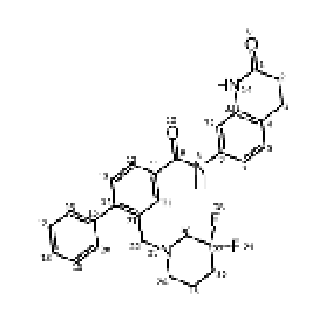 O=C1CCc2ccc(NC(=O)c3ccc(-c4ccccc4)c(CN4CCCC(F)(F)C4)c3)cc2N1